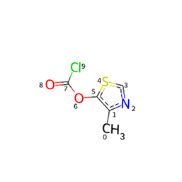 Cc1ncsc1OC(=O)Cl